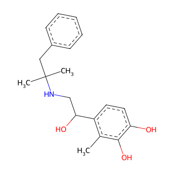 Cc1c(C(O)CNC(C)(C)Cc2ccccc2)ccc(O)c1O